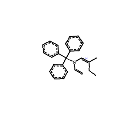 C=CN(/C=C(/C)CC)C(c1ccccc1)(c1ccccc1)c1ccccc1